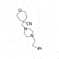 CC(C)CCN1CCN(CC2(C#N)CCOCC2)CC1